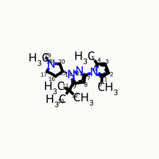 Cc1ccc(C)n1-c1cc(C(C)(C)C)n([C@@H]2CCN(C)C2)n1